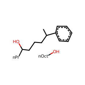 CCCC(O)CCCC(C)c1ccccc1.CCCCCCCCO